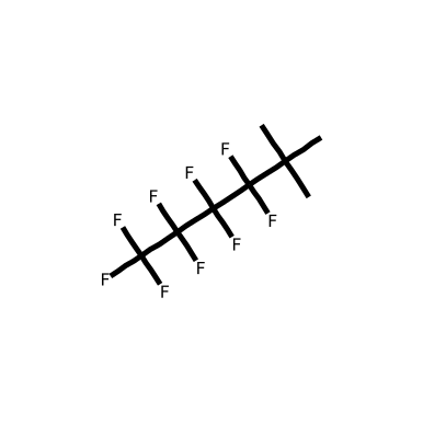 CC(C)(C)C(F)(F)C(F)(F)C(F)(F)C(F)(F)F